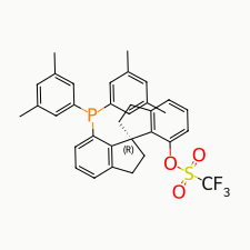 Cc1cc(C)cc(P(c2cc(C)cc(C)c2)c2cccc3c2[C@]2(CCc4cccc(OS(=O)(=O)C(F)(F)F)c42)CC3)c1